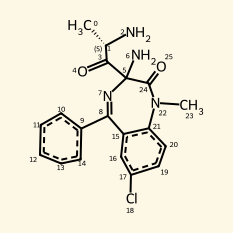 C[C@H](N)C(=O)C1(N)N=C(c2ccccc2)c2cc(Cl)ccc2N(C)C1=O